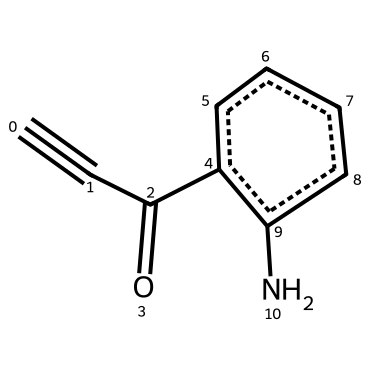 C#CC(=O)c1ccccc1N